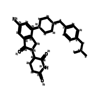 CN(C)Cc1ccc(CN2CCN(c3cc(F)cc4c3CN(C3CCC(=O)NC3=O)C4=O)CC2)cc1